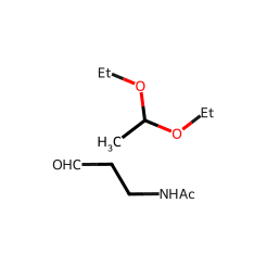 CC(=O)NCCC=O.CCOC(C)OCC